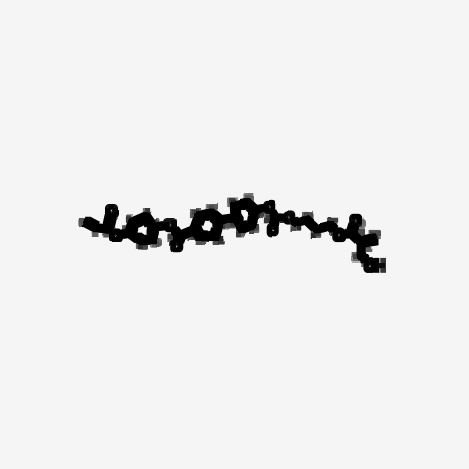 C=CC(=O)Oc1ccc(OC(=O)c2ccc(-c3ccc(OC(=O)OCCCCOC(=O)C(=C)CO)cc3)cc2)cc1